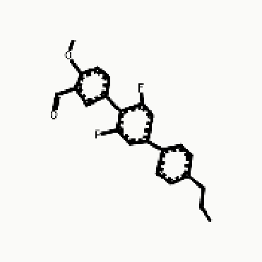 CCCc1ccc(-c2cc(F)c(-c3ccc(OC)c(C=O)c3)c(F)c2)cc1